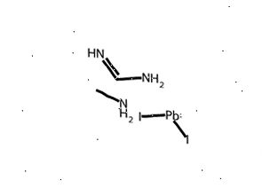 CN.N=CN.[I][Pb][I]